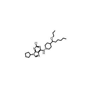 CCCCCC(OCCC)C1CCN(Nc2nc(Cl)nc3c2ncn3C2CCCC2)CC1